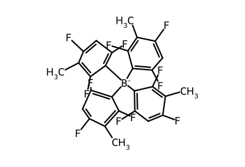 Cc1c(F)cc(F)c([B-](c2c(F)cc(F)c(C)c2F)(c2c(F)cc(F)c(C)c2F)c2c(F)cc(F)c(C)c2F)c1F